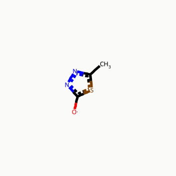 Cc1nnc([O])s1